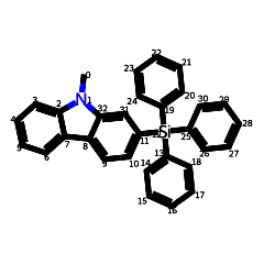 Cn1c2ccccc2c2ccc([Si](c3ccccc3)(c3ccccc3)c3ccccc3)cc21